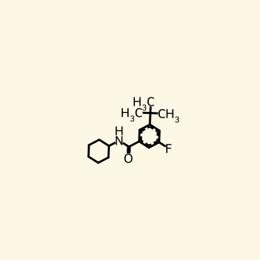 CC(C)(C)c1cc(F)cc(C(=O)NC2CCCCC2)c1